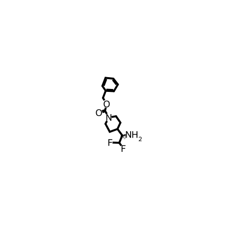 N[C@@H](C(F)F)C1CCN(C(=O)OCc2ccccc2)CC1